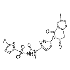 O=C(Nc1ccc(N2C(=O)Cc3ccc(I)cc3C2=O)nc1)NS(=O)(=O)c1ccc(F)s1